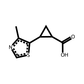 Cc1ncsc1C1CC1C(=O)O